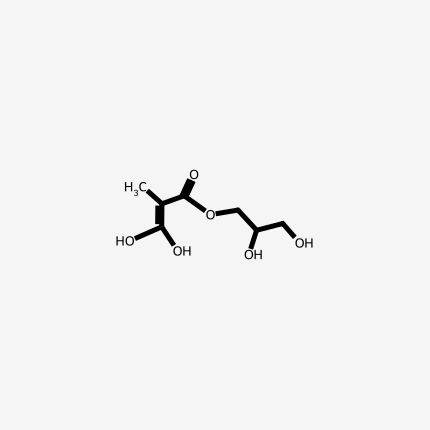 CC(C(=O)OCC(O)CO)=C(O)O